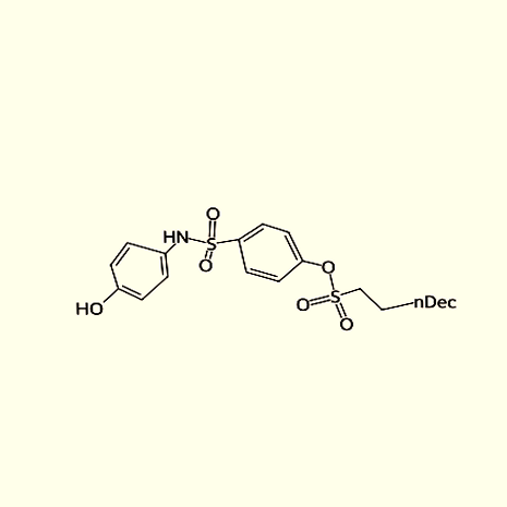 CCCCCCCCCCCCS(=O)(=O)Oc1ccc(S(=O)(=O)Nc2ccc(O)cc2)cc1